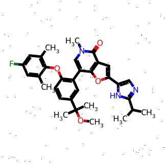 COC(C)(C)c1ccc(Oc2c(C)cc(F)cc2C)c(-c2cn(C)c(=O)c3cc(-c4cnc(C(C)C)[nH]4)oc23)c1